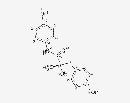 C[C@](O)(Cc1ccc(O)cc1)C(=O)Nc1ccc(O)cc1